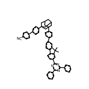 CC1(C)c2cc(-c3ccc(C45CC6CC(CC(c7ccc(-c8ccc(C#N)cc8)cc7)(C6)C4)C5)cc3)ccc2-c2ccc(-c3nc(-c4ccccc4)nc(-c4ccccc4)n3)cc21